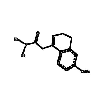 CCN(CC)C(=O)CC1=CCCc2cc(OC)ccc21